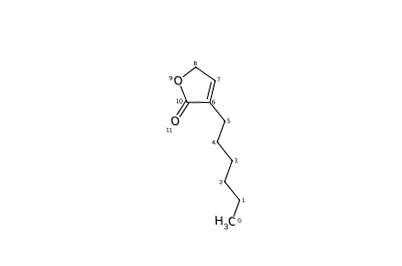 CCCCCCC1=CCOC1=O